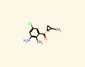 Cc1c(N)cc(Cl)cc1C(=O)[C@@H]1CC1C